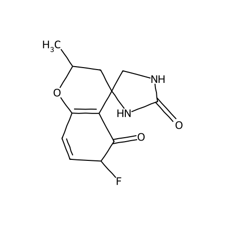 CC1CC2(CNC(=O)N2)C2=C(C=CC(F)C2=O)O1